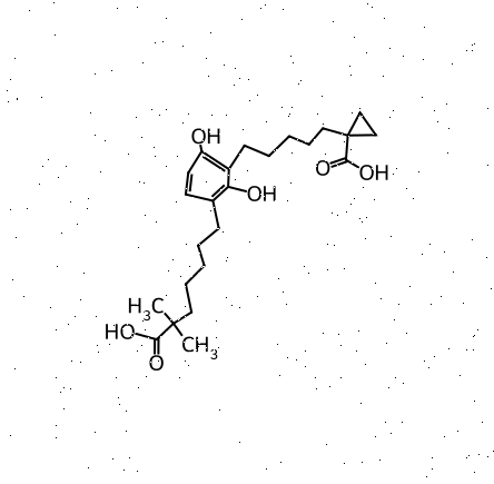 CC(C)(CCCCCc1ccc(O)c(CCCCCC2(C(=O)O)CC2)c1O)C(=O)O